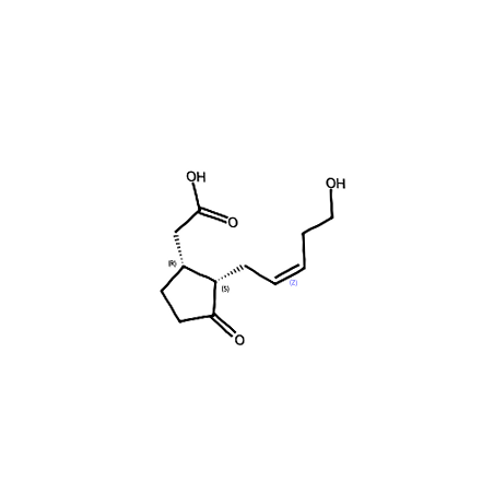 O=C(O)C[C@H]1CCC(=O)[C@H]1C/C=C\CCO